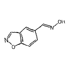 O/N=C/c1ccc2oncc2c1